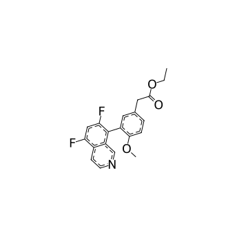 CCOC(=O)Cc1ccc(OC)c(-c2c(F)cc(F)c3ccncc23)c1